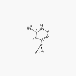 CC(C)C1NCN=C(C2CC2)S1